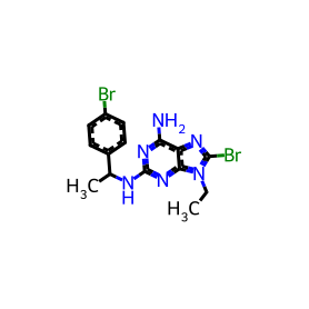 CCn1c(Br)nc2c(N)nc(NC(C)c3ccc(Br)cc3)nc21